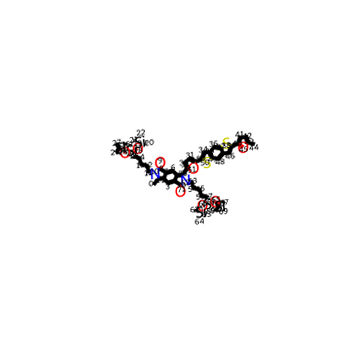 CC1=c2cc3c(cc2C(=O)N1CCCCC[Si](C)(O[Si](C)(C)C)O[Si](C)(C)C)=C(c1ccc(-c2cc4cc5sc(-c6ccc(C)o6)cc5cc4s2)o1)N(CCCCC[Si](C)(O[Si](C)(C)C)O[Si](C)(C)C)C3=O